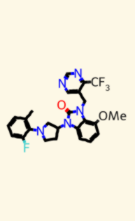 COc1cccc2c1n(Cc1cncnc1C(F)(F)F)c(=O)n2C1CCN(c2c(C)cccc2F)C1